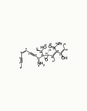 CC#C/C=C\C#C[C@H](N)[C@]1([C@@H](C)O)O[C@]1(C)/C(C)=C(C(=O)C(C)C)/C(O)=C\C